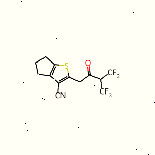 N#Cc1c(CC(=O)C(C(F)(F)F)C(F)(F)F)sc2c1CCC2